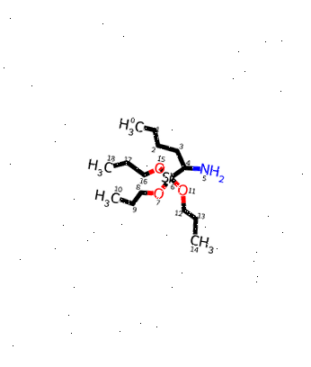 CCCCC(N)[Si](OCCC)(OCCC)OCCC